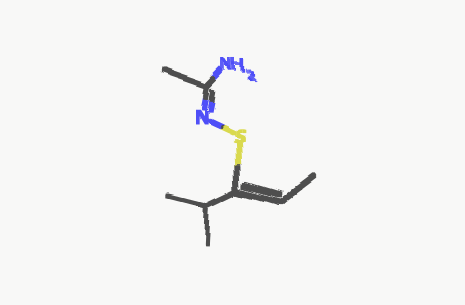 C/C=C(\S/N=C(/C)N)C(C)C